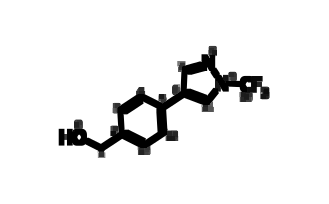 OCc1ccc(-c2cnn(C(F)(F)F)c2)cc1